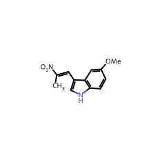 COc1ccc2[nH]cc(C=C(C)[N+](=O)[O-])c2c1